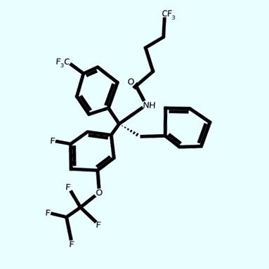 O=C(CCCC(F)(F)F)N[C@](Cc1ccccc1)(c1ccc(C(F)(F)F)cc1)c1cc(F)cc(OC(F)(F)C(F)F)c1